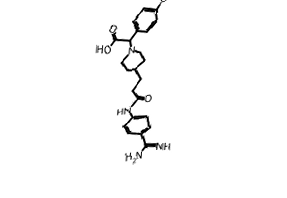 COc1ccc(C(C(=O)O)N2CCC(CCC(=O)Nc3ccc(C(=N)N)cc3)CC2)cc1